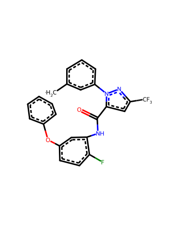 [CH2]c1cccc(-n2nc(C(F)(F)F)cc2C(=O)Nc2cc(Oc3ccccc3)ccc2F)c1